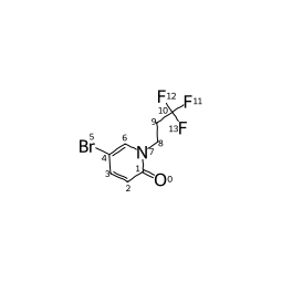 O=c1ccc(Br)cn1CCC(F)(F)F